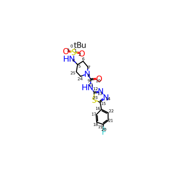 CC(C)(C)S(=O)(=O)NC1CCN(C(=O)Nc2nnc(-c3ccc(F)cc3)s2)CC1